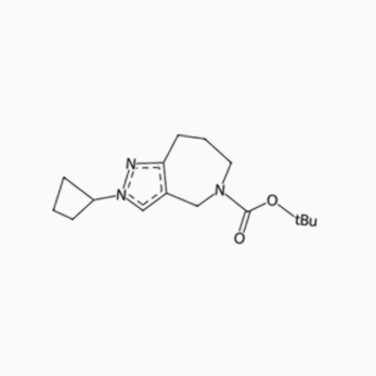 CC(C)(C)OC(=O)N1CCCc2nn(C3CCC3)cc2C1